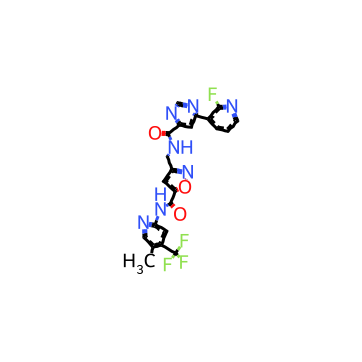 Cc1cnc(NC(=O)c2cc(CNC(=O)c3cc(-c4cccnc4F)ncn3)no2)cc1C(F)(F)F